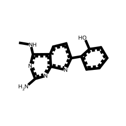 CNc1nc(N)nc2nc(-c3ccccc3O)ccc12